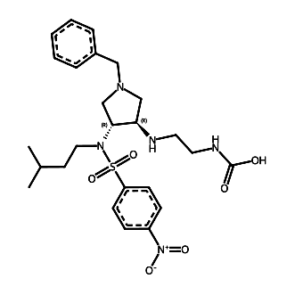 CC(C)CCN([C@@H]1CN(Cc2ccccc2)C[C@H]1NCCNC(=O)O)S(=O)(=O)c1ccc([N+](=O)[O-])cc1